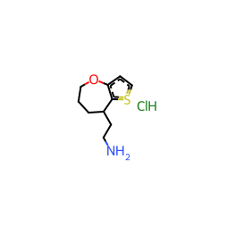 Cl.NCCC1CCCOc2ccsc21